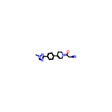 Cn1cnc(-c2ccc(C3=CCN(C(=O)CC#N)CC3)cc2)n1